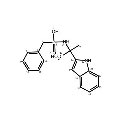 CC(NP(=O)(O)Cc1ccccc1)(C(=O)O)c1cc2ccccc2[nH]1